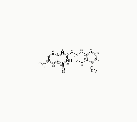 COc1ccc2nc(CN3CCc4c(cccc4OC)C3)[nH]c(=O)c2c1